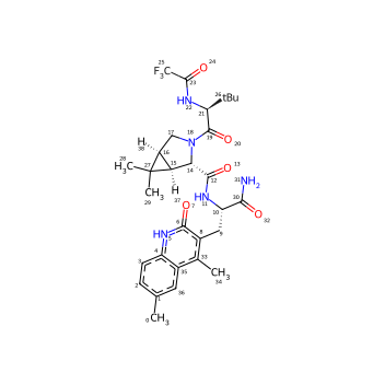 Cc1ccc2[nH]c(=O)c(C[C@H](NC(=O)[C@@H]3[C@@H]4[C@H](CN3C(=O)[C@@H](NC(=O)C(F)(F)F)C(C)(C)C)C4(C)C)C(N)=O)c(C)c2c1